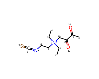 CC[N+](CC)(CCN=C=S)CC(=O)C(C)=O